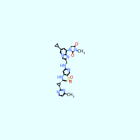 Cc1ccnc([C@H]2C[C@@H]2C2=CS(=O)(=O)c3cnc(NCc4cn5cc(C6CC6)cc(N6CC(=O)N(C)C6=O)c5n4)cc3N2)n1